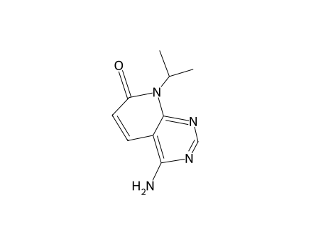 CC(C)n1c(=O)ccc2c(N)ncnc21